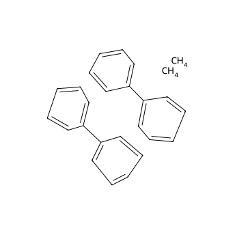 C.C.c1ccc(-c2ccccc2)cc1.c1ccc(-c2ccccc2)cc1